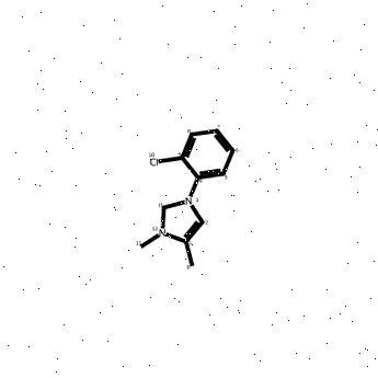 CC1=CN(c2ccccc2Cl)CN1C